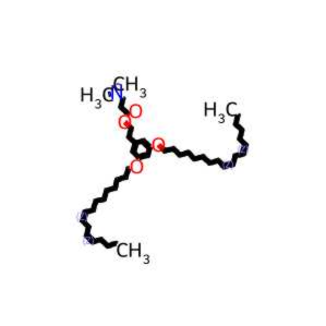 CCCC/C=C\C/C=C\CCCCCCCCOc1cc(CCOC(=O)CCN(C)C)cc(OCCCCCCCC/C=C\C/C=C\CCCCC)c1